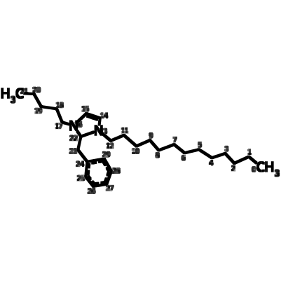 CCCCCCCCCCCCCN1C=CN(CCCCC)C1Cc1ccccc1